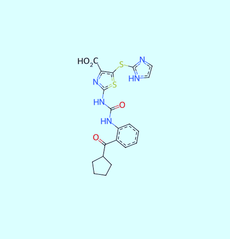 O=C(Nc1nc(C(=O)O)c(Sc2ncc[nH]2)s1)Nc1ccccc1C(=O)C1CCCC1